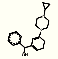 OC(C1=CC[CH]C(N2CCN(C3CC3)CC2)=C1)c1ccccc1